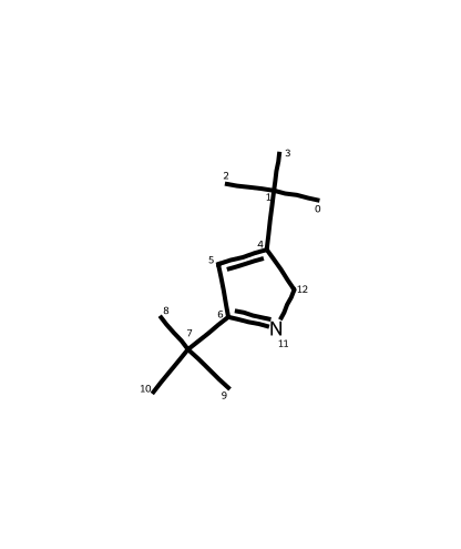 CC(C)(C)C1=CC(C(C)(C)C)=NC1